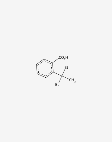 CCC(C)(CC)c1ccccc1C(=O)O